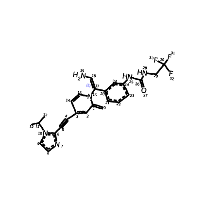 C=C1C=C(C#Cc2nccn2C(C)C)C=CN1/C(=C\N)c1cccc(NC(=O)NCC(F)(F)F)c1